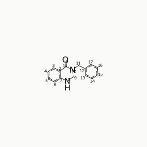 O=C1c2ccccc2NCN1Cc1ccccc1